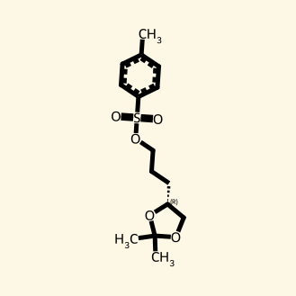 Cc1ccc(S(=O)(=O)OCCC[C@@H]2COC(C)(C)O2)cc1